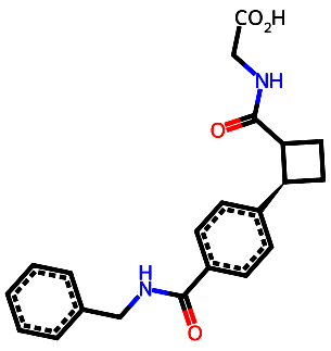 O=C(O)CNC(=O)C1CC[C@H]1c1ccc(C(=O)NCc2ccccc2)cc1